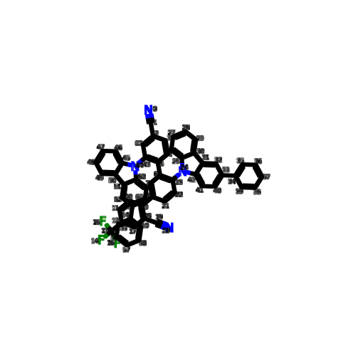 N#Cc1ccc(-c2cc(-c3ccc(C(F)(F)F)cc3C#N)ccc2-n2c3ccccc3c3cc(-c4ccccc4)ccc32)c(-n2c3ccccc3c3cc(-c4ccccc4)ccc32)c1